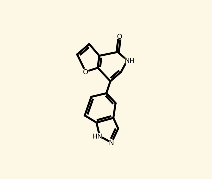 O=c1[nH]cc(-c2ccc3[nH]ncc3c2)c2occc12